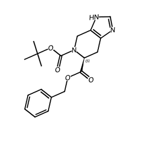 CC(C)(C)OC(=O)N1Cc2[nH]cnc2C[C@H]1C(=O)OCc1ccccc1